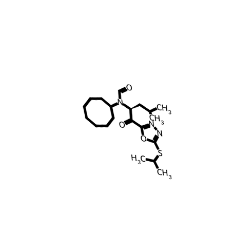 CC(C)C[C@@H](C(=O)c1nnc(SC(C)C)o1)N(C=O)C1CCCCCCC1